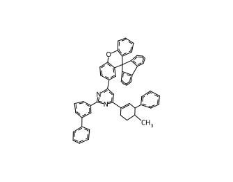 CC1CCC(c2cc(-c3ccc4c(c3)C3(c5ccccc5O4)c4ccccc4-c4ccccc43)nc(-c3cccc(-c4ccccc4)c3)n2)=CC1c1ccccc1